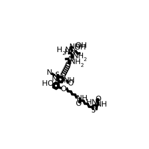 C=O.C=O.C=O.C=O.C=O.C=O.CCC(N)=O.CCC(N)=O.CCCNC(=N)N.CO.CO.Cc1ccc(O)cc1.N#Cc1nc2ccc(NC=O)cc2s1.O=CCCCCCNC(=O)CCCCC1SCC2NC(=O)NC21